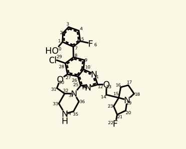 Oc1cccc(F)c1-c1cc2nc(OCC34CCCN3CC(F)C4)nc3c2c(c1Cl)OCC1CNCCN31